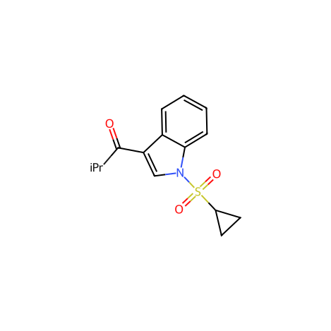 CC(C)C(=O)c1cn(S(=O)(=O)C2CC2)c2ccccc12